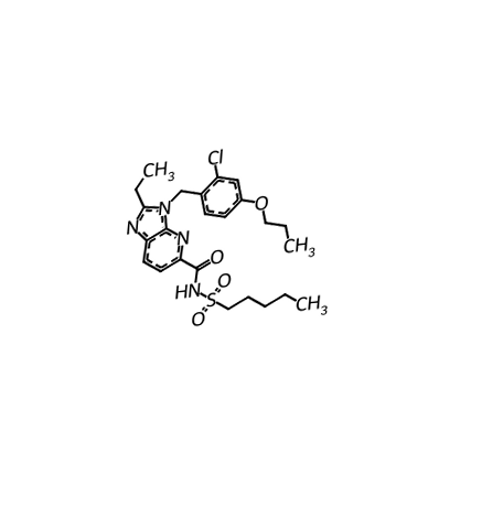 CCCCCS(=O)(=O)NC(=O)c1ccc2nc(CC)n(Cc3ccc(OCCC)cc3Cl)c2n1